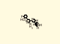 Nc1nnc(-c2cccc(F)c2O)cc1-c1cc([C@@H]2C[C@@H]3COC[C@@H]2CN3)ccn1